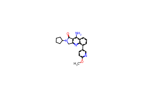 COc1ccc(-c2cccc3c(N)c4c(nc23)CN(C2CCCC2)C4=O)cn1